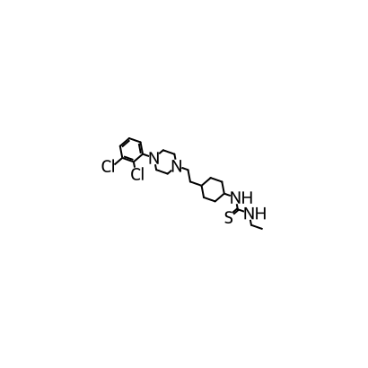 CCNC(=S)NC1CCC(CCN2CCN(c3cccc(Cl)c3Cl)CC2)CC1